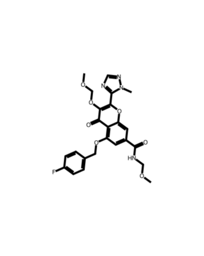 COCNC(=O)c1cc(OCc2ccc(F)cc2)c2c(=O)c(OCOC)c(-c3ncnn3C)oc2c1